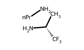 CCCN.C[C@@H](N)C(F)(F)F